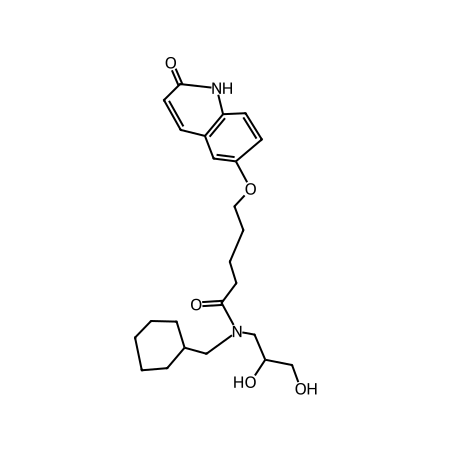 O=C(CCCCOc1ccc2[nH]c(=O)ccc2c1)N(CC(O)CO)CC1CCCCC1